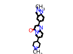 CN1CCC(c2ccc3nc(-c4ccc5nn(C)cc5c4)cc(=O)n3c2)CC1